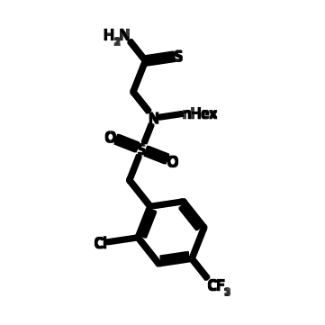 CCCCCCN(CC(N)=S)S(=O)(=O)Cc1ccc(C(F)(F)F)cc1Cl